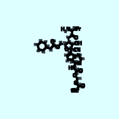 CC(C)[C@H](N)C(=O)C[C@H]1[C@@H](O)[C@](C#N)(c2ccc3c(NC(=O)OCOC(=O)C(C)(C)C)ncnn23)O[C@@H]1COC(=O)CC1CCCCC1